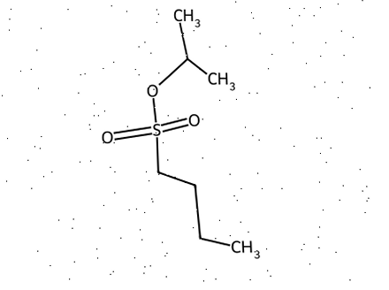 CCCCS(=O)(=O)OC(C)C